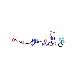 O=CNCCOCC#CC1=CNC(C#CCCC(=O)Nc2ccc(OCc3ccc(F)c(C(F)(F)F)c3)c(CNCCO)c2)C=N1